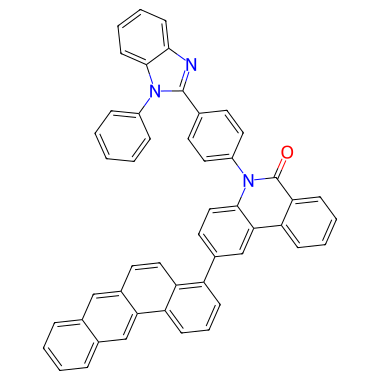 O=c1c2ccccc2c2cc(-c3cccc4c3ccc3cc5ccccc5cc34)ccc2n1-c1ccc(-c2nc3ccccc3n2-c2ccccc2)cc1